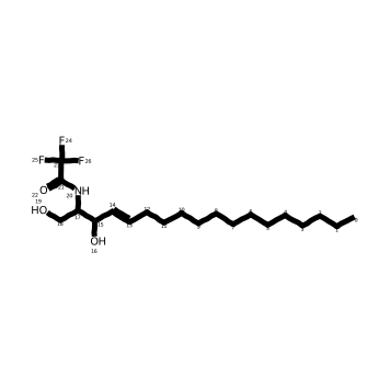 CCCCCCCCCCCCCC=CC(O)C(CO)NC(=O)C(F)(F)F